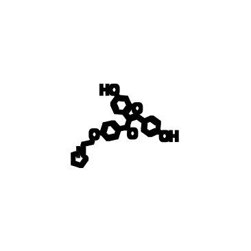 O=C(c1ccc(OCCN2CCCC2)cc1)c1c(-c2ccc(O)cc2)oc2cc(O)ccc12